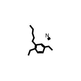 C#N.CCCCCc1cc(CC)ccc1CC